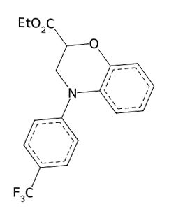 CCOC(=O)C1CN(c2ccc(C(F)(F)F)cc2)c2ccccc2O1